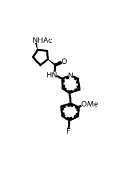 COc1cc(F)ccc1-c1ccnc(NC(=O)[C@H]2CC[C@@H](NC(C)=O)C2)c1